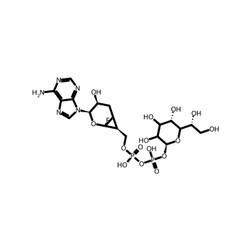 Nc1ncnc2c1ncn2[C@@H]1OC2(F)C(C[C@@H]1O)[C@H]2COP(=O)(O)OP(=O)(O)O[C@@H]1OC([C@H](O)CO)[C@@H](O)C(O)C1O